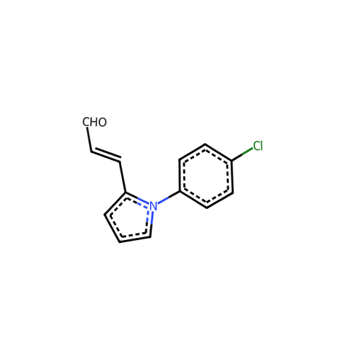 O=CC=Cc1cccn1-c1ccc(Cl)cc1